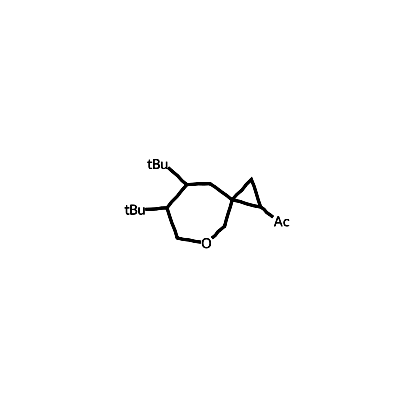 CC(=O)C1CC12COCC(C(C)(C)C)C(C(C)(C)C)C2